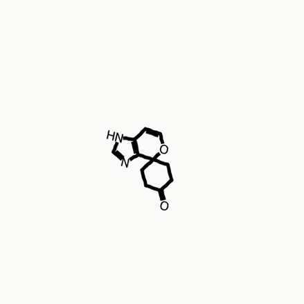 O=C1CCC2(CC1)OC=Cc1[nH]cnc12